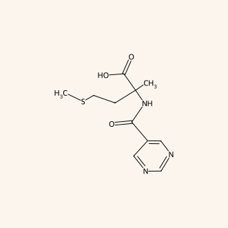 CSCCC(C)(NC(=O)c1cncnc1)C(=O)O